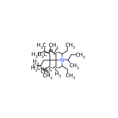 CCC(C)[N+](C(C)CC)(C(C)CC)C(CC)(CC(C)C)C(CC(C)C)(CC(C)C)CC(C)C